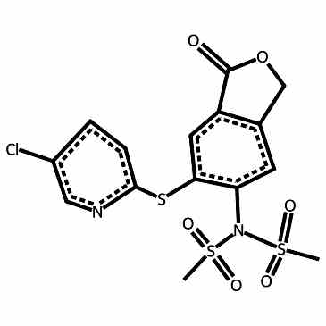 CS(=O)(=O)N(c1cc2c(cc1Sc1ccc(Cl)cn1)C(=O)OC2)S(C)(=O)=O